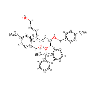 COc1ccc(CO[C@@H](CO[Si](c2ccccc2)(c2ccccc2)C(C)(C)C)C[C@@H](OCc2ccc(OC)cc2)[C@H](C)C=CCO)cc1